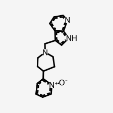 [O-][n+]1ccccc1C1CCN(Cc2c[nH]c3ncccc23)CC1